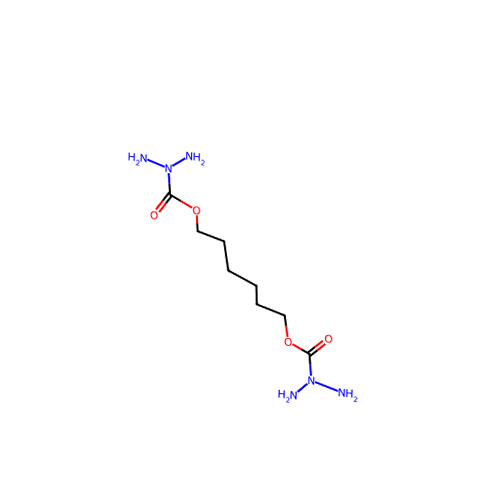 NN(N)C(=O)OCCCCCCOC(=O)N(N)N